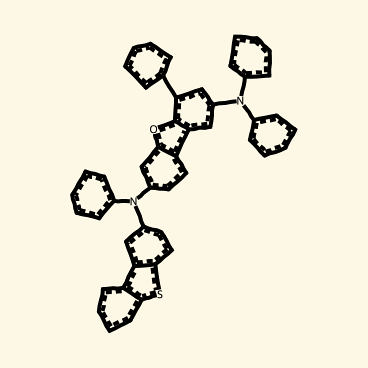 c1ccc(-c2cc(N(c3ccccc3)c3ccccc3)cc3c2oc2cc(N(c4ccccc4)c4ccc5sc6ccccc6c5c4)ccc23)cc1